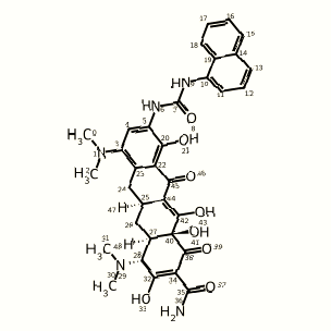 CN(C)c1cc(NC(=O)Nc2cccc3ccccc23)c(O)c2c1C[C@@H]1C[C@@H]3[C@@H](N(C)C)C(O)=C(C(N)=O)C(=O)[C@@]3(O)C(O)=C1C2=O